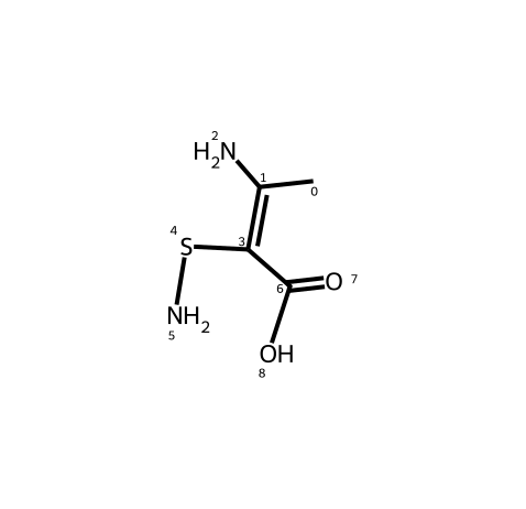 C/C(N)=C(/SN)C(=O)O